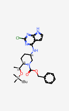 C[C@H](O[Si](C)(C)C(C)(C)C)[C@H]1CC[C@@H](Nc2nc(Cl)nc3[nH]ccc23)CN1C(=O)OCc1ccccc1